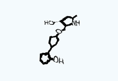 CC1C[C@@H](O)[C@H](COC2CCC(c3ccccc3O)CC2)N1